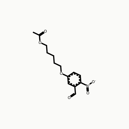 CC(=O)OCCCCCOc1ccc([N+](=O)[O-])c(C=O)c1